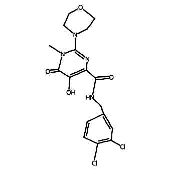 Cn1c(N2CCOCC2)nc(C(=O)NCc2ccc(Cl)c(Cl)c2)c(O)c1=O